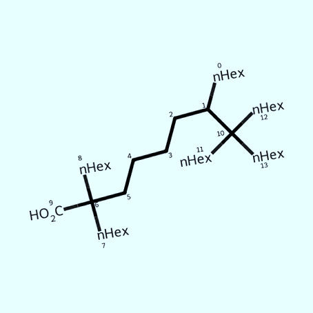 CCCCCCC(CCCCC(CCCCCC)(CCCCCC)C(=O)O)C(CCCCCC)(CCCCCC)CCCCCC